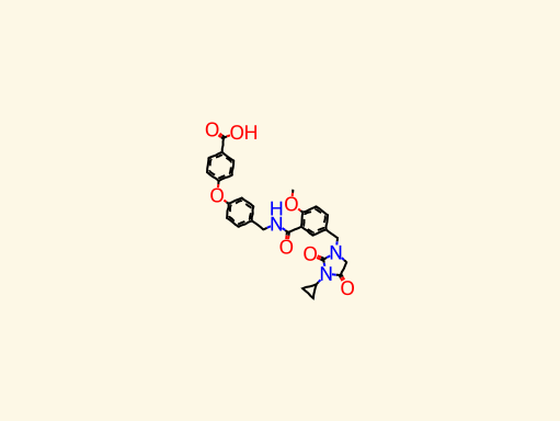 COc1ccc(CN2CC(=O)N(C3CC3)C2=O)cc1C(=O)NCc1ccc(Oc2ccc(C(=O)O)cc2)cc1